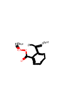 CCCCCC(CC)c1ccccc1C(=O)OOC(C)(C)C